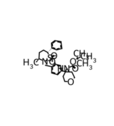 C[C@H]1CC[C@H](c2ccccc2)S(=O)(=O)N1Cc1ccc(C2(NC(=O)OC(C)(C)C)CCOCC2)cc1F